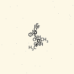 CCC(=O)Nc1cc(C(=O)NCc2ccc(OCC(F)(F)F)nc2N2CCCCC2)cc(C)n1